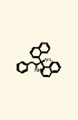 NC(Cc1ccccc1)C(N)(c1cccc2ccccc12)c1cccc2ccccc12